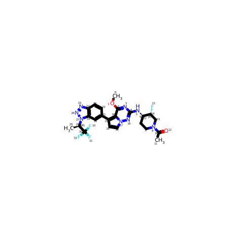 COc1nc(N[C@H]2CCN(C(C)=O)C[C@H]2F)nn2ccc(-c3ccc4nnn([C@H](C)C(F)(F)F)c4c3)c12